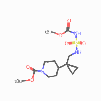 CC(C)(C)OC(=O)NS(=O)(=O)NCC1(C2CCN(C(=O)OC(C)(C)C)CC2)CC1